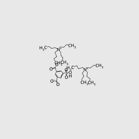 CCCC[N+](CCCC)(CCCC)CCCC.CCCC[N+](CCCC)(CCCC)CCCC.O=C([O-])c1cc(C(=O)[O-])cc(S(=O)(=O)O)c1